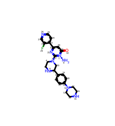 Nn1c(N2CCNC(c3ccc(N4CCNCC4)cc3)C2)nc(-c2ccncc2F)cc1=O